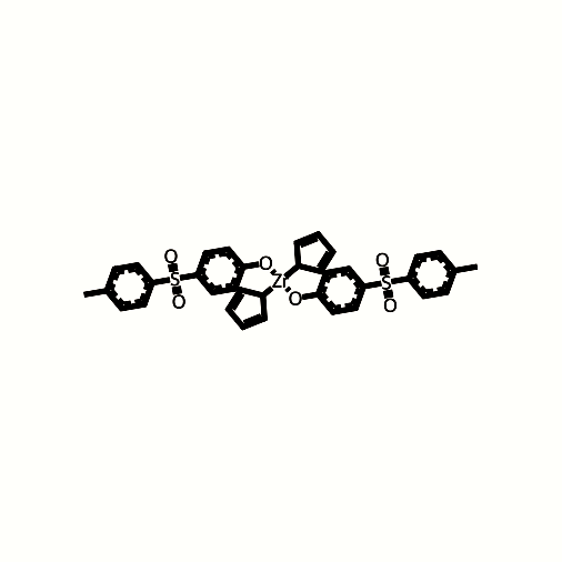 Cc1ccc(S(=O)(=O)c2ccc([O][Zr]([O]c3ccc(S(=O)(=O)c4ccc(C)cc4)cc3)([CH]3C=CC=C3)[CH]3C=CC=C3)cc2)cc1